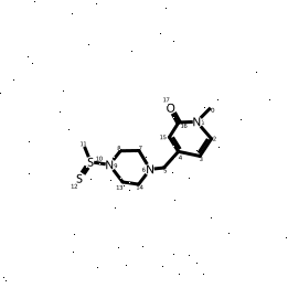 Cn1ccc(CN2CCN(S(C)=S)CC2)cc1=O